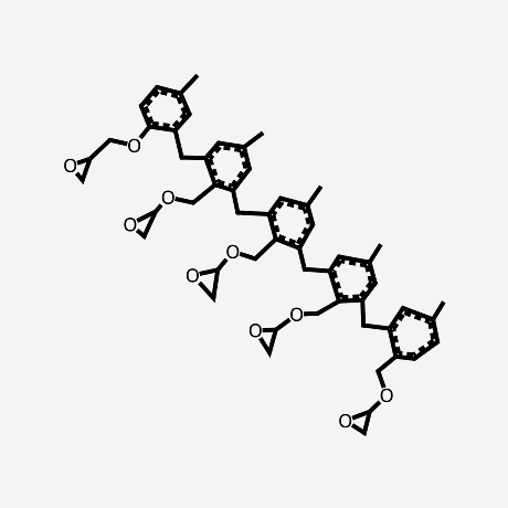 Cc1ccc(COC2CO2)c(Cc2cc(C)cc(Cc3cc(C)cc(Cc4cc(C)cc(Cc5cc(C)ccc5OCC5CO5)c4COC4CO4)c3COC3CO3)c2COC2CO2)c1